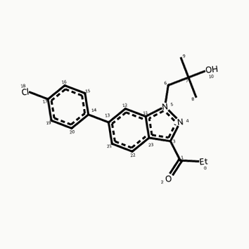 CCC(=O)c1nn(CC(C)(C)O)c2cc(-c3ccc(Cl)cc3)ccc12